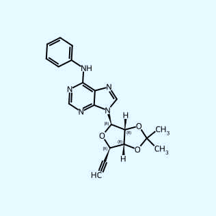 C#C[C@H]1O[C@@H](n2cnc3c(Nc4ccccc4)ncnc32)[C@@H]2OC(C)(C)O[C@@H]21